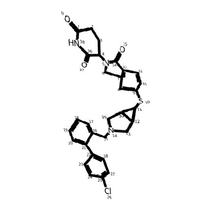 O=C1CCC(N2Cc3cc(SC4C5CN(Cc6ccccc6-c6ccc(Cl)cc6)CC54)ccc3C2=O)C(=O)N1